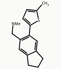 CNCc1cc2c(cc1-c1ccc(C)s1)CCC2